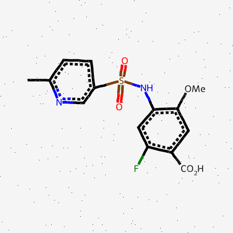 COc1cc(C(=O)O)c(F)cc1NS(=O)(=O)c1ccc(C)nc1